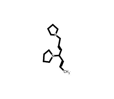 [CH2]C=CC(C=CCN1CCCC1)N1CCCC1